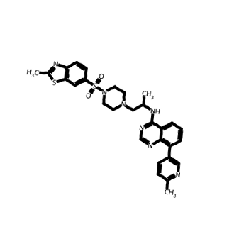 Cc1ccc(-c2cccc3c(NC(C)CN4CCN(S(=O)(=O)c5ccc6nc(C)sc6c5)CC4)ncnc23)cn1